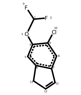 FC(F)Oc1cc2c(cc1Cl)C=CC2